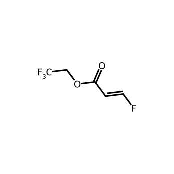 O=C(C=CF)OCC(F)(F)F